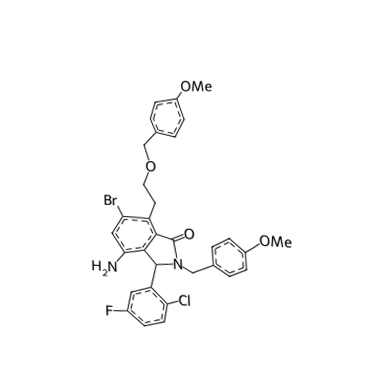 COc1ccc(COCCc2c(Br)cc(N)c3c2C(=O)N(Cc2ccc(OC)cc2)C3c2cc(F)ccc2Cl)cc1